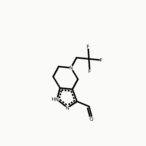 O=Cc1n[nH]c2c1CN(CC(F)(F)F)CC2